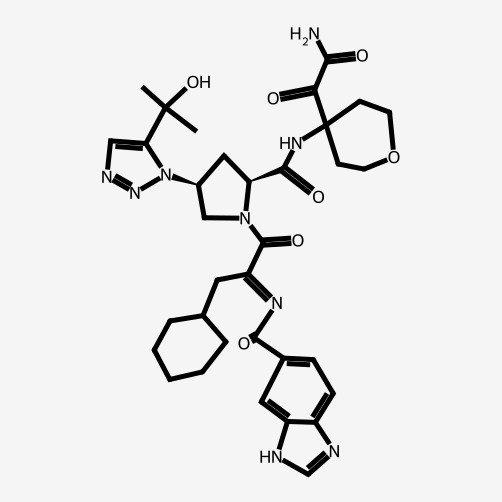 CC(C)(O)c1cnnn1[C@H]1C[C@@H](C(=O)NC2(C(=O)C(N)=O)CCOCC2)N(C(=O)/C(CC2CCCCC2)=N/C(=O)c2ccc3nc[nH]c3c2)C1